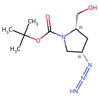 CC(C)(C)OC(=O)N1C[C@@H](N=[N+]=N)C[C@H]1CO